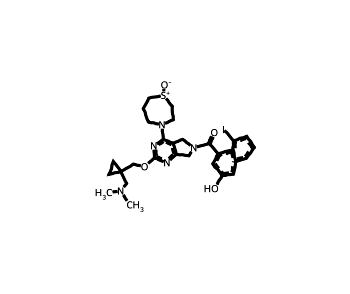 CN(C)CC1(COc2nc3c(c(N4CCC[S+]([O-])CC4)n2)CN(C(=O)c2cc(O)cc4cccc(I)c24)C3)CC1